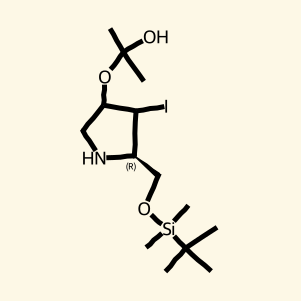 CC(C)(O)OC1CN[C@H](CO[Si](C)(C)C(C)(C)C)C1I